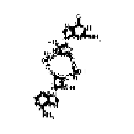 Nc1nc2c(ncn2[C@@H]2O[C@@H]3COP(=O)(O)O[C@@H]4C(COP(=O)(O)O[C@H]3[C@H]2O)O[C@@H](n2cnc3c(N)ncnc32)[C@@H]4O)c(=O)[nH]1